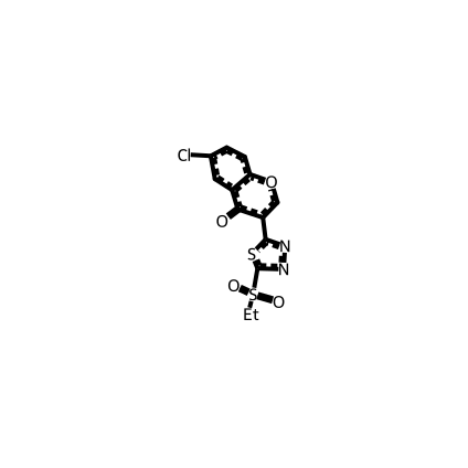 CCS(=O)(=O)c1nnc(-c2coc3ccc(Cl)cc3c2=O)s1